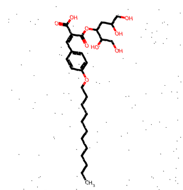 CCCCCCCCCCCCOc1ccc(C=C(C(=O)O)C(=O)OC(CC(O)CO)C(O)CO)cc1